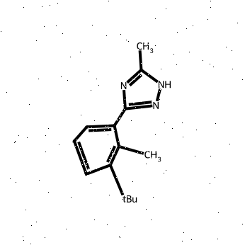 Cc1nc(-c2cccc(C(C)(C)C)c2C)n[nH]1